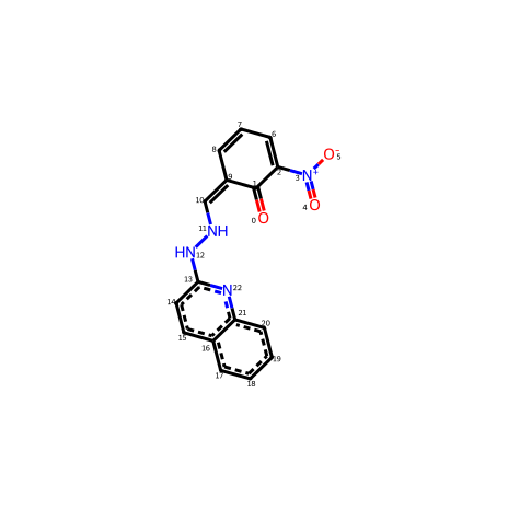 O=C1C([N+](=O)[O-])=CC=C/C1=C/NNc1ccc2ccccc2n1